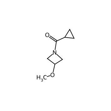 COC1CN(C(=O)C2CC2)C1